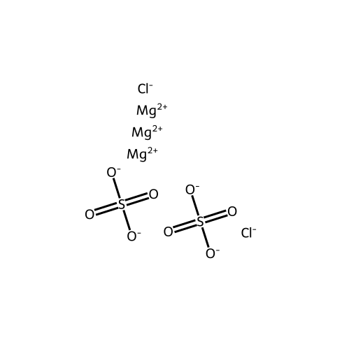 O=S(=O)([O-])[O-].O=S(=O)([O-])[O-].[Cl-].[Cl-].[Mg+2].[Mg+2].[Mg+2]